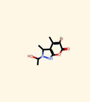 Cc1c2c(oc(=O)c1Br)NN(C(C)O)C2C